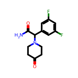 NC(=O)C(c1cc(F)cc(F)c1)N1CCC(=O)CC1